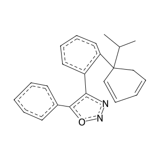 CC(C)C1(c2ccccc2-c2nnoc2-c2ccccc2)C=CC=CC1